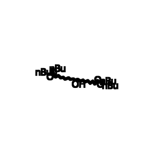 CCCCC(CCCC)OC(=O)CCCCCCCCC(O)CCCCCCCCC(=O)OC(CCCC)CCCC